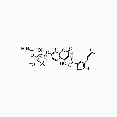 CO[C@@H]1[C@@H](OC(N)=O)[C@@H](O)[C@H](Oc2ccc3c(O)c(NC(=O)c4ccc(F)c(CC=C(C)C)c4)c(=O)oc3c2C)OC1(C)C